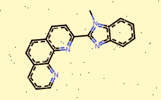 Cn1c(-c2ccc3ccc4cccnc4c3n2)nc2ccccc21